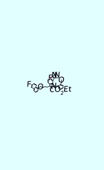 CCOC(=O)c1c(CCCOc2cccc3cc(F)ccc23)c2ccc(F)c3c2n1Cc1ccccc1COCc1nn(C)c(C)c1-3